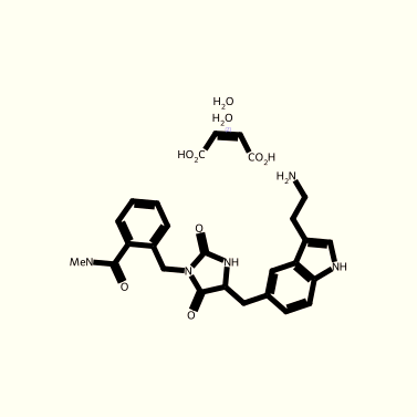 CNC(=O)c1ccccc1CN1C(=O)NC(Cc2ccc3[nH]cc(CCN)c3c2)C1=O.O.O.O=C(O)/C=C\C(=O)O